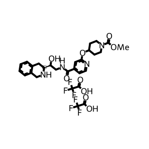 COC(=O)N1CCC(Oc2cc(C(=O)NCC(O)[C@@H]3Cc4ccccc4CN3)ccn2)CC1.O=C(O)C(F)(F)F.O=C(O)C(F)(F)F